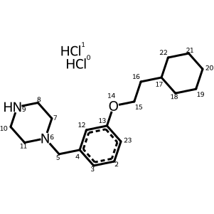 Cl.Cl.c1cc(CN2CCNCC2)cc(OCCC2CCCCC2)c1